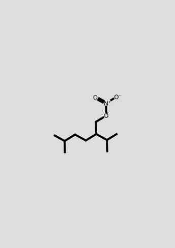 CC(C)CCC(CO[N+](=O)[O-])C(C)C